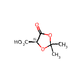 CC1(C)OC(=O)[C@H](C(=O)O)O1